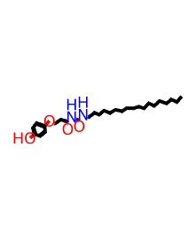 CCCCCCCCCCCCCCCCCCNC(=O)NC(=O)CCOc1ccc(O)cc1